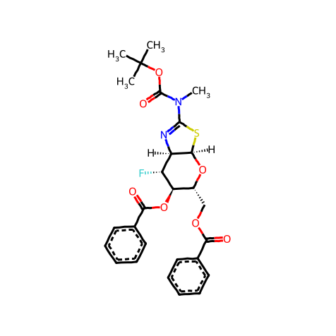 CN(C(=O)OC(C)(C)C)C1=N[C@@H]2[C@@H](F)[C@H](OC(=O)c3ccccc3)[C@@H](COC(=O)c3ccccc3)O[C@@H]2S1